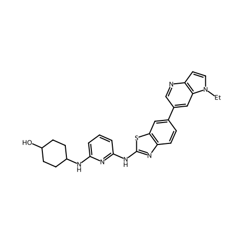 CCn1ccc2ncc(-c3ccc4nc(Nc5cccc(NC6CCC(O)CC6)n5)sc4c3)cc21